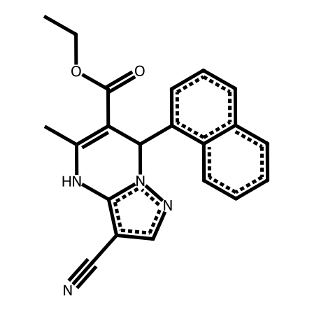 CCOC(=O)C1=C(C)Nc2c(C#N)cnn2C1c1cccc2ccccc12